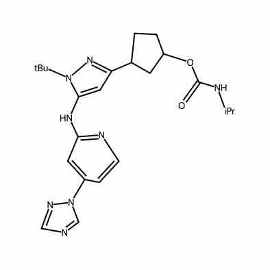 CC(C)NC(=O)OC1CCC(c2cc(Nc3cc(-n4cncn4)ccn3)n(C(C)(C)C)n2)C1